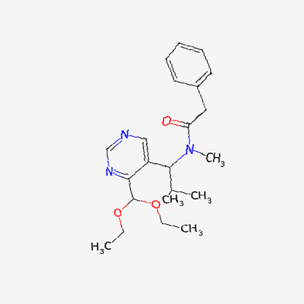 CCOC(OCC)c1ncncc1C(C(C)C)N(C)C(=O)Cc1ccccc1